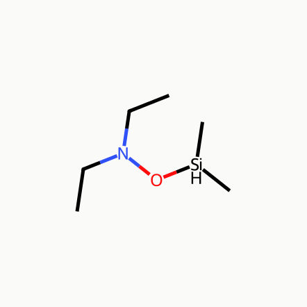 CCN(CC)O[SiH](C)C